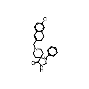 O=C1NCN(c2ccccc2)C12CCN(CC1=Cc3ccc(Cl)cc3CC1)CC2